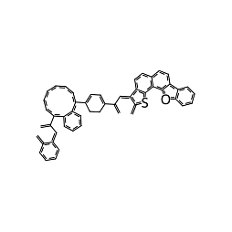 C=C(/C=c1\c(=C)sc2c1ccc1ccc3c4ccccc4oc3c12)C1=CC=C(c2ccccccc(C(=C)/C=c3/ccccc3=C)c3ccccc23)CC1